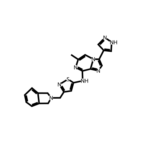 Cc1cn2c(-c3cn[nH]c3)cnc2c(Nc2cc(CN3Cc4ccccc4C3)ns2)n1